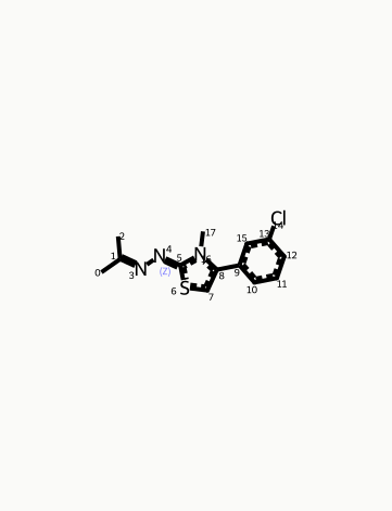 CC(C)=N/N=c1\scc(-c2cccc(Cl)c2)n1C